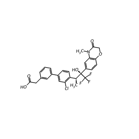 C[C@@H](c1ccc(-c2cccc(CC(=O)O)c2)cc1Cl)[C@](O)(c1ccc2c(c1)N(C)C(=O)CO2)C(F)(F)F